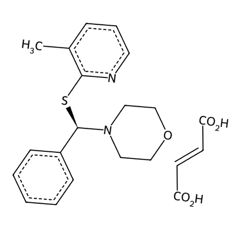 Cc1cccnc1S[C@H](c1ccccc1)N1CCOCC1.O=C(O)/C=C/C(=O)O